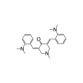 CN1C/C(=C/c2ccccc2N(C)C)C(=O)/C(=C/c2ccccc2N(C)C)C1